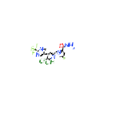 Cl.NC(=O)[C@H]1C[C@@H](F)CN1Cc1cc(-c2cnc(C(F)(F)F)nc2)c(Cl)cn1